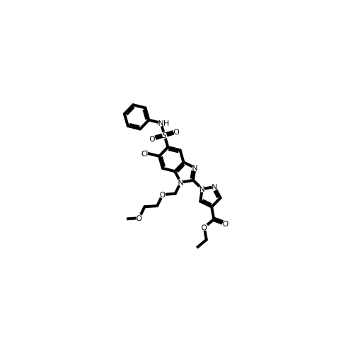 CCOC(=O)c1cnn(-c2nc3cc(S(=O)(=O)Nc4ccccc4)c(Cl)cc3n2COCCOC)c1